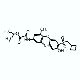 Cc1cc(NC(=O)C(=O)OC(C)C)cc(C)c1Oc1ccc(O)c(S(=O)(=O)CC2CCC2)c1